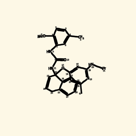 COc1ccc(C(F)(F)F)cc1NC(=O)NC1(Oc2cc(C)nc(NC(C)C)n2)C=CCc2ccccc21